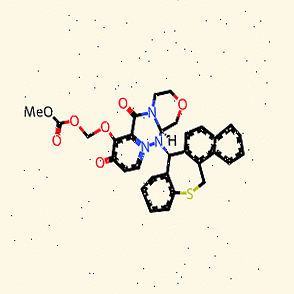 COC(=O)OCOc1c2n(ccc1=O)N([C@@H]1c3ccccc3SCc3c1ccc1ccccc31)[C@@H]1COCCN1C2=O